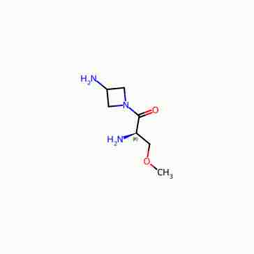 COC[C@@H](N)C(=O)N1CC(N)C1